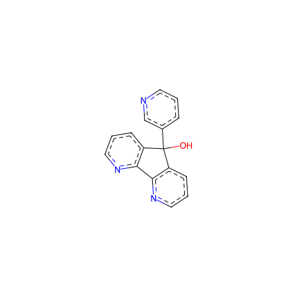 OC1(c2cccnc2)c2cccnc2-c2ncccc21